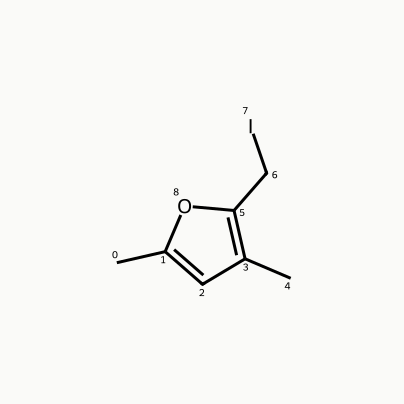 Cc1cc(C)c(CI)o1